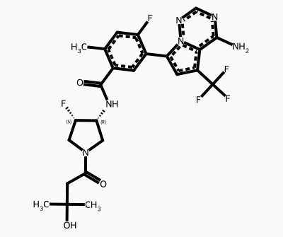 Cc1cc(F)c(-c2cc(C(F)(F)F)c3c(N)ncnn23)cc1C(=O)N[C@@H]1CN(C(=O)CC(C)(C)O)C[C@@H]1F